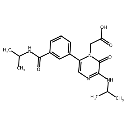 CC(C)NC(=O)c1cccc(-c2cnc(NC(C)C)c(=O)n2CC(=O)O)c1